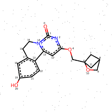 O=c1nc(OCC23CC(CO2)C3)cc2n1CCc1cc(O)ccc1-2